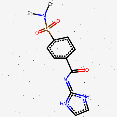 CCN(CC)S(=O)(=O)c1ccc(C(=O)N=c2[nH]cc[nH]2)cc1